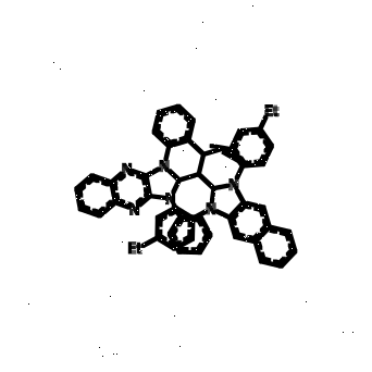 C=CC1c2ccccc2N2c3nc4ccccc4nc3N(c3ccccc3)C2C1C1N(c2ccc(CC)cc2)c2cc3ccccc3cc2N1c1ccc(CC)cc1C